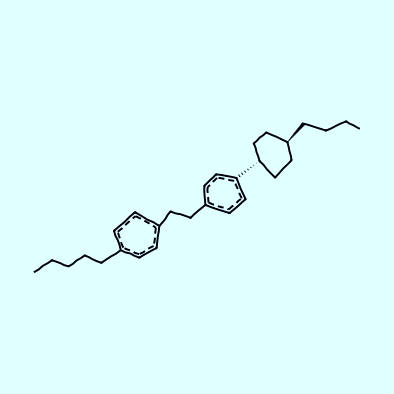 CCCCCc1ccc(CCc2ccc([C@H]3CC[C@H](CCCC)CC3)cc2)cc1